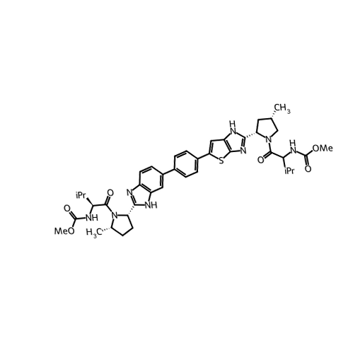 COC(=O)NC(C(=O)N1C[C@@H](C)C[C@H]1c1nc2sc(-c3ccc(-c4ccc5nc([C@@H]6CC[C@H](C)N6C(=O)[C@@H](NC(=O)OC)C(C)C)[nH]c5c4)cc3)cc2[nH]1)C(C)C